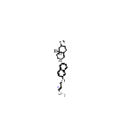 C/C=C/COc1ccc2cc([C@@H]3CC[C@@H]4CC(CCC)CCC4C3)ccc2c1